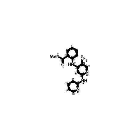 CNC(=O)c1ccccc1Nc1cc(Nc2ccccn2)ncc1C(F)(F)F